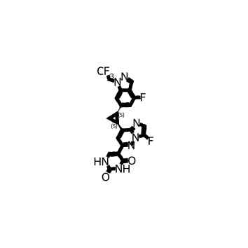 O=c1[nH]cc(-c2cc([C@H]3C[C@@H]3c3cc(F)c4cnn(CC(F)(F)F)c4c3)c3ncc(F)n3n2)c(=O)[nH]1